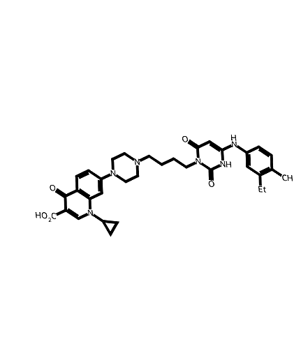 CCc1cc(Nc2cc(=O)n(CCCCN3CCN(c4ccc5c(=O)c(C(=O)O)cn(C6CC6)c5c4)CC3)c(=O)[nH]2)ccc1C